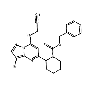 C#CCNc1cc(C2CCCCN2C(=O)OCc2ccccc2)nc2c(Br)cnn12